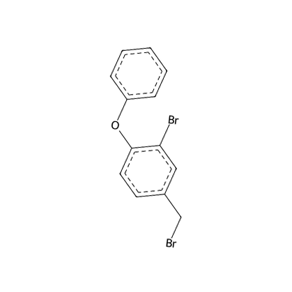 BrCc1ccc(Oc2ccccc2)c(Br)c1